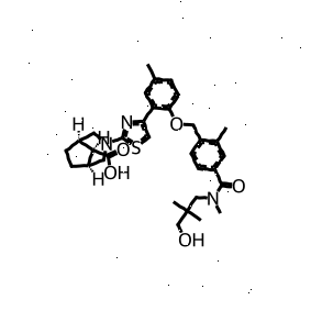 Cc1ccc(OCc2ccc(C(=O)N(C)CC(C)(C)CO)cc2C)c(-c2csc(N3C[C@H]4CC[C@@H](C3)[C@H]4C(=O)O)n2)c1